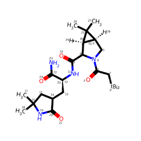 CC(C)(C)CC(=O)N1C[C@H]2[C@@H](C1C(=O)N[C@@H](CC1CC(C)(C)NC1=O)C(N)=O)C2(C)C